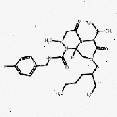 CCCCC(CC)CN1C[C@H]2N(C(=O)CN(C)N2C(=O)NCc2ccc(F)cc2)[C@@H](C(C)C)C1=O